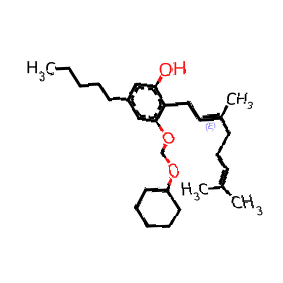 CCCCCc1cc(O)c(C/C=C(\C)CCC=C(C)C)c(OCOC2CCCCC2)c1